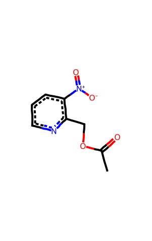 CC(=O)OCc1ncccc1[N+](=O)[O-]